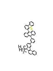 CC1(C)c2ccc(-c3cccc(-c4c5ccccc5c(-c5cccc6c5sc5ccccc56)c5ccccc45)c3)cc2-c2c1ccc1ccccc21